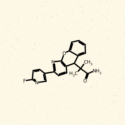 CC(C)(C(N)=O)C1c2ccccc2Oc2nc(-c3ccc(F)nc3)ccc21